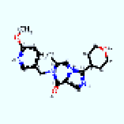 COc1ccc(Cn2c(C)cn3c(C4CCOCC4)ncc3c2=O)cn1